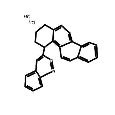 Cl.Cl.c1ccc2nnc(C3CCCc4ccc5c(ccc6ccccc65)c43)cc2c1